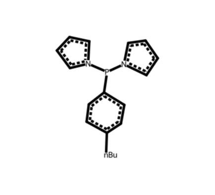 CCCCc1ccc(P(n2cccc2)n2cccc2)cc1